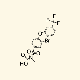 CN(C(=O)O)S(=O)(=O)c1ccc(Oc2cccc(C(F)(F)F)c2)c(Br)c1